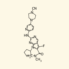 CN(C)C(=O)c1c(F)c2cnc(Nc3ccc(N4CCN(C#N)CC4)cn3)nc2n1C1CCCC1